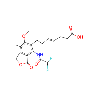 COc1c(C)c2c(c(NC(=O)C(F)F)c1CC/C=C/CCC(=O)O)C(=O)OC2